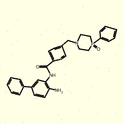 Nc1ccc(-c2ccccc2)cc1NC(=O)c1ccc(CN2CCP(=O)(c3ccccc3)CC2)cc1